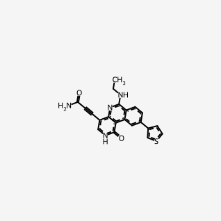 CCNc1nc2c(C#CC(N)=O)c[nH]c(=O)c2c2cc(-c3ccsc3)ccc12